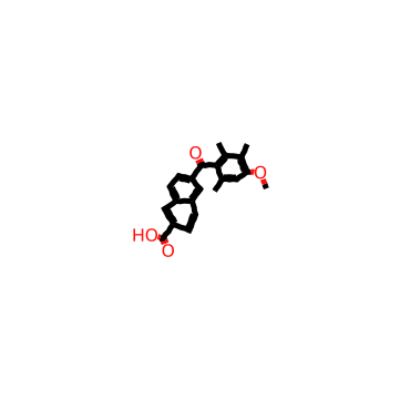 COc1cc(C)c(C(=O)c2ccc3cc(C(=O)O)ccc3c2)c(C)c1C